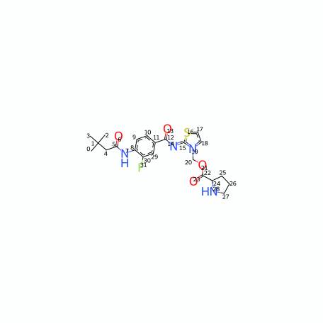 CC(C)(C)CC(=O)Nc1ccc(C(=O)N=c2sccn2COC(=O)C2CCCN2)cc1F